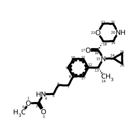 COC(=O)NCCCc1cccc([C@@H](C)N(C(=O)[C@H]2CNCCO2)C2CC2)c1